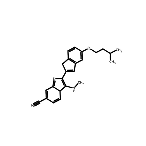 CNC1=C(C2=Cc3cc(OCCC(C)C)ccc3C2)N=C2C=C(C#N)C=CC21